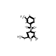 NCc1cc(S(=O)(=O)c2cccc(C(F)(F)F)c2)cc(Br)n1